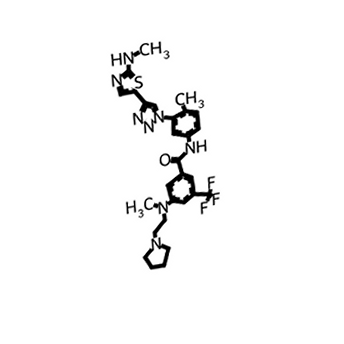 CNc1ncc(-c2cn(-c3cc(NC(=O)c4cc(N(C)CCN5CCCC5)cc(C(F)(F)F)c4)ccc3C)nn2)s1